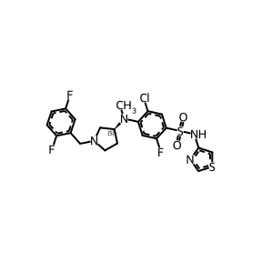 CN(c1cc(F)c(S(=O)(=O)Nc2cscn2)cc1Cl)[C@H]1CCN(Cc2cc(F)ccc2F)C1